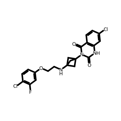 O=c1[nH]c2cc(Cl)ccc2c(=O)n1C12CC(NCCOc3ccc(Cl)c(F)c3)(C1)C2